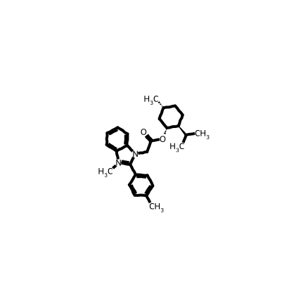 Cc1ccc(-c2n(CC(=O)O[C@@H]3C[C@H](C)CC[C@H]3C(C)C)c3ccccc3[n+]2C)cc1